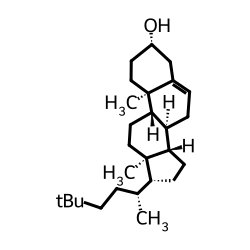 C[C@H](CCC(C)(C)C)[C@H]1CC[C@H]2[C@@H]3CC=C4C[C@@H](O)CC[C@]4(C)[C@H]3CC[C@]12C